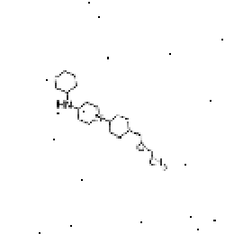 CCOC[C@H]1CC[C@@H](N2CCC(NC3CCCCC3)CC2)CC1